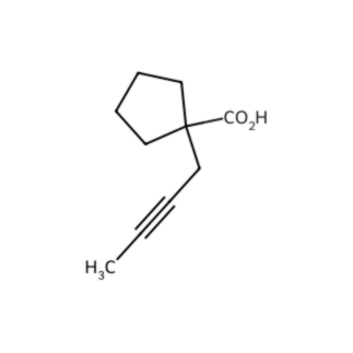 CC#CCC1(C(=O)O)CCCC1